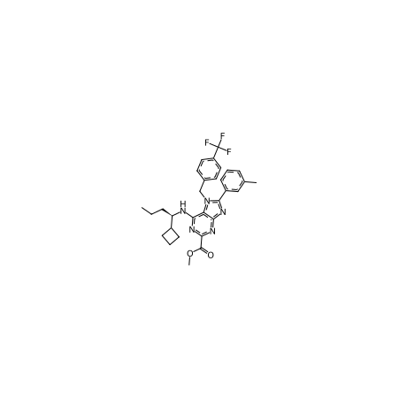 CCC[C@@H](Nc1nc(C(=O)OC)nc2nc(-c3cccc(C)c3)n(Cc3ccc(C(F)(F)F)cc3)c12)C1CCC1